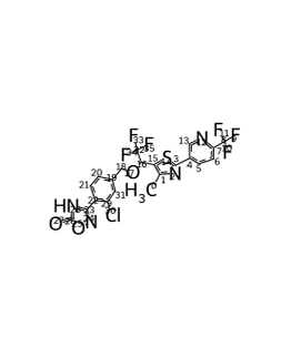 Cc1nc(-c2ccc(C(F)(F)F)nc2)sc1C(OCc1ccc(-c2noc(=O)[nH]2)c(Cl)c1)C(F)(F)F